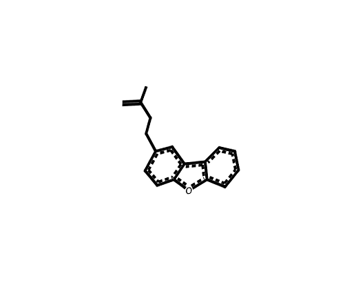 C=C(C)CCc1ccc2oc3ccccc3c2c1